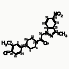 Cc1cc(N2CCN(C(=O)Cn3nc(C)c4cc([N+](=O)[O-])ccc43)CC2)ccc1Cl